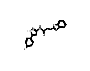 O=C(CCc1nc2ccccc2o1)Nc1cc(-c2ccc(Cl)cc2)[nH]n1